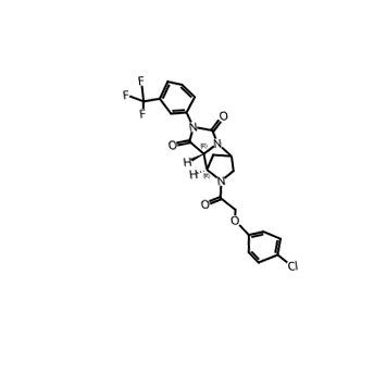 O=C1[C@H]2[C@H]3CC(CN3C(=O)COc3ccc(Cl)cc3)N2C(=O)N1c1cccc(C(F)(F)F)c1